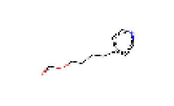 O=[C]OCCCCc1ccncc1